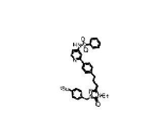 CCn1c(CCCc2ccc(-c3cc(NS(=O)(=O)c4ccccc4)ccn3)cc2)nn(Cc2ccc(C(C)(C)C)cc2)c1=O